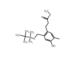 COC(=O)CCc1cc(I)c(O)cc1CO[Si](C)(C)C(C)(C)C